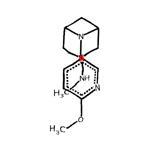 CNN1CC2CC(C1)N2c1ccc(OC)nc1